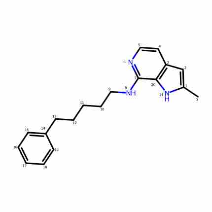 Cc1cc2ccnc(NCCCCCc3ccccc3)c2[nH]1